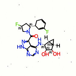 O=C(c1n[nH]c2ncnc(N[C@H]3[C@H](O)[C@H](O)[C@@H]4C[C@@H]43)c12)N1C[C@@H](F)C[C@@H]1C1C=C(F)C=CC1